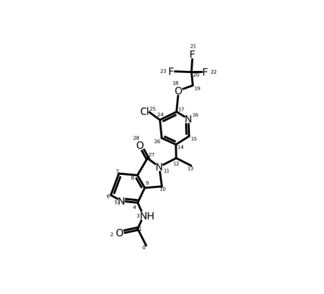 CC(=O)Nc1nccc2c1CN(C(C)c1cnc(OCC(F)(F)F)c(Cl)c1)C2=O